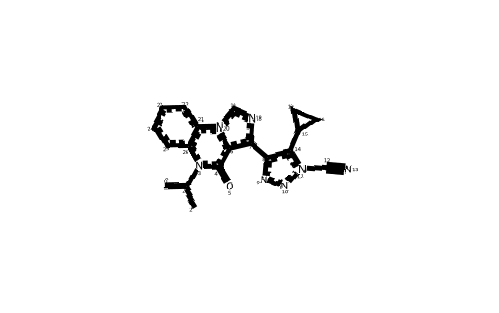 CC(C)n1c(=O)c2c(-c3nnn(C#N)c3C3CC3)ncn2c2ccccc21